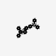 c1ccc(-c2nc(-c3ccccc3)nc(-c3ccc(-c4ccc5oc6c(-c7nc(-c8ccccc8)nc(-c8ccccc8)n7)cccc6c5c4)cc3)n2)cc1